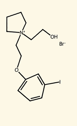 OCC[N+]1(CCOc2cccc(I)c2)CCCC1.[Br-]